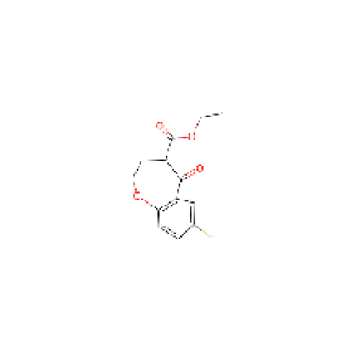 CCOC(=O)C1CCOc2ccc(F)cc2C1=O